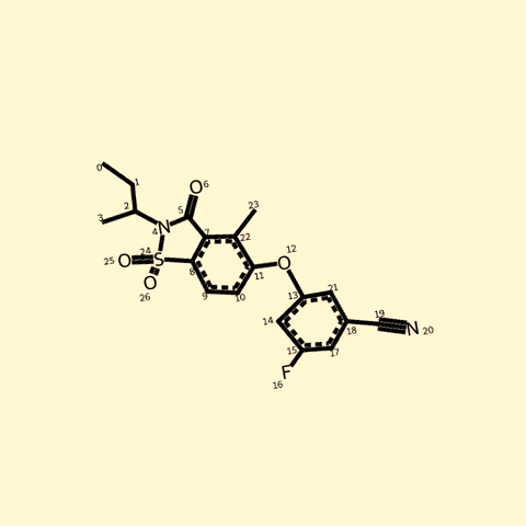 CCC(C)N1C(=O)c2c(ccc(Oc3cc(F)cc(C#N)c3)c2C)S1(=O)=O